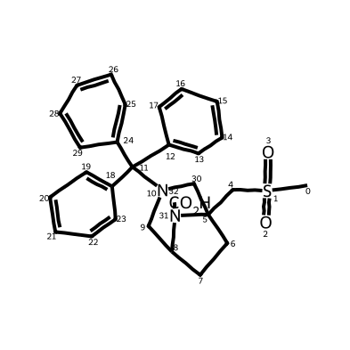 CS(=O)(=O)CC12CCC(CN(C(c3ccccc3)(c3ccccc3)c3ccccc3)C1)N2C(=O)O